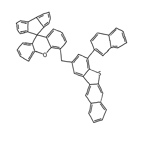 c1ccc2c(c1)Oc1c(Cc3cc(-c4ccc5ccccc5c4)c4sc5cc6ccccc6cc5c4c3)cccc1C21c2ccccc2-c2ccccc21